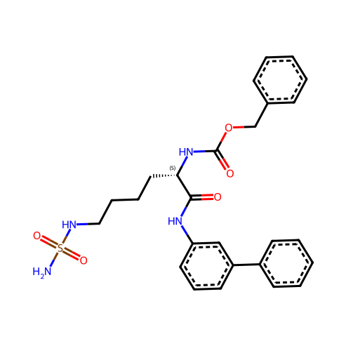 NS(=O)(=O)NCCCC[C@H](NC(=O)OCc1ccccc1)C(=O)Nc1cccc(-c2ccccc2)c1